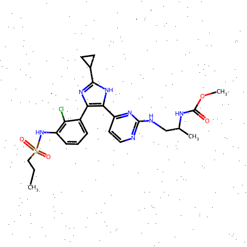 CCCS(=O)(=O)Nc1cccc(-c2nc(C3CC3)[nH]c2-c2ccnc(NCC(C)NC(=O)OC)n2)c1Cl